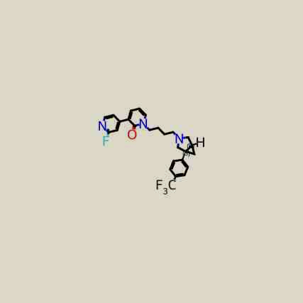 O=c1c(-c2ccnc(F)c2)cccn1CCCCN1C[C@@H]2C[C@]2(c2ccc(C(F)(F)F)cc2)C1